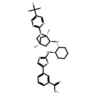 NC(=O)c1cccc(-c2cnc(N[C@@H]3CCCC[C@H]3N[C@H]3C[C@@H]4C[C@H]3N(c3ncc(C(F)(F)F)cn3)C4)o2)c1